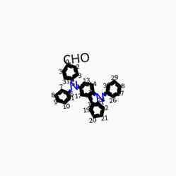 O=Cc1ccc(N(c2ccccc2)c2ccc3c(c2)c2ccccc2n3-c2ccccc2)cc1